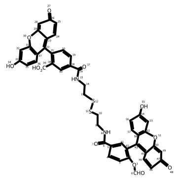 O=COc1ccc(C(=O)NCCSSCCNC(=O)c2ccc(-c3c4ccc(=O)cc-4oc4cc(O)ccc34)c(C(=O)O)c2)cc1-c1c2ccc(=O)cc-2oc2cc(O)ccc12